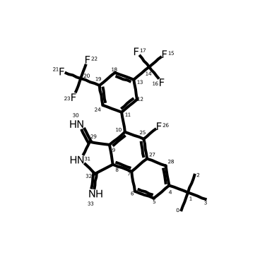 CC(C)(C)c1ccc2c3c(c(-c4cc(C(F)(F)F)cc(C(F)(F)F)c4)c(F)c2c1)C(=N)NC3=N